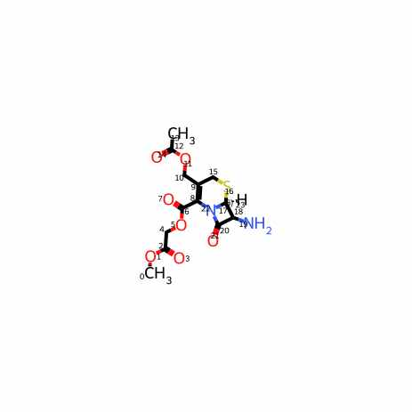 COC(=O)COC(=O)C1=C(COC(C)=O)CS[C@H]2C(N)C(=O)N12